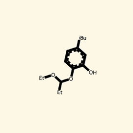 CCOC(CC)Oc1ccc(C(C)CC)cc1O